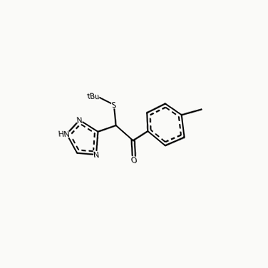 Cc1ccc(C(=O)C(SC(C)(C)C)c2nc[nH]n2)cc1